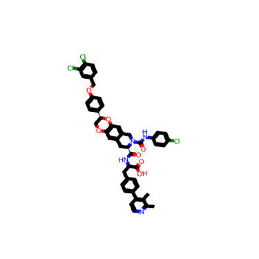 Cc1nccc(-c2ccc(CC(NC(=O)[C@@H]3Cc4cc5c(cc4CN3C(=O)Nc3ccc(Cl)cc3)O[C@@H](c3ccc(OCc4ccc(Cl)c(Cl)c4)cc3)CO5)C(=O)O)cc2)c1C